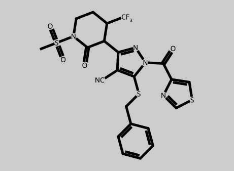 CS(=O)(=O)N1CCC(C(F)(F)F)C(c2nn(C(=O)c3cscn3)c(SCc3ccccc3)c2C#N)C1=O